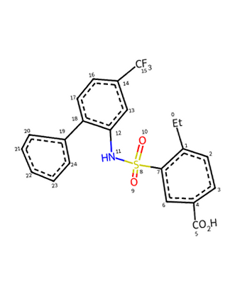 CCc1ccc(C(=O)O)cc1S(=O)(=O)Nc1cc(C(F)(F)F)ccc1-c1ccccc1